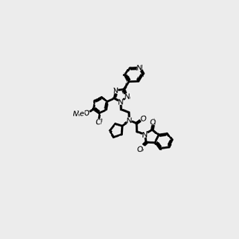 COc1ccc(-c2nc(-c3ccncc3)nn2CCN(C(=O)CN2C(=O)c3ccccc3C2=O)C2CCCC2)cc1Cl